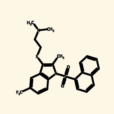 Cc1c(SCCN(C)C)c2cc(C(F)(F)F)ccc2n1S(=O)(=O)c1cccc2ccccc12